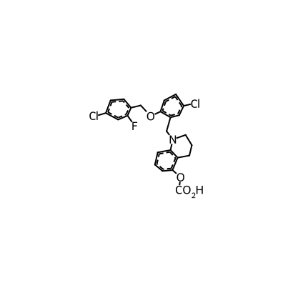 O=C(O)Oc1cccc2c1CCCN2Cc1cc(Cl)ccc1OCc1ccc(Cl)cc1F